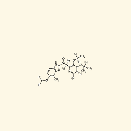 [2H]c1nc(C([2H])([2H])[S+]([O-])c2nc3c(C)c(OC(F)F)ccc3[nH]2)c(OC([2H])([2H])C)c(OC([2H])(C)C)c1[2H]